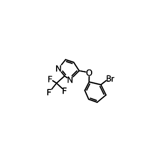 FC(F)(F)c1nccc(Oc2ccccc2Br)n1